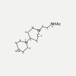 CC(=O)NCCN1CCC(N2CCOCC2)CC1